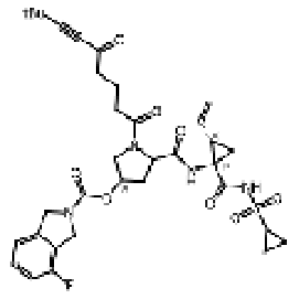 C=C[C@@H]1C[C@]1(NC(=O)C1C[C@@H](OC(=O)N2Cc3cccc(F)c3C2)CN1C(=O)CCCC(=O)C#CC(C)(C)C)C(=O)NS(=O)(=O)C1CC1